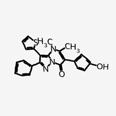 Cc1c(-c2ccc(O)cc2)c(=O)n2nc(-c3ccccc3)c(-c3cccs3)c2n1C